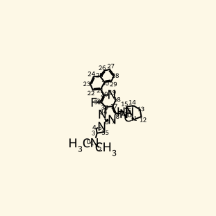 CN(C)C1CN(c2nc(N3CC4CCC(C3)N4)c3cnc(-c4cccc5ccccc45)c(F)c3n2)C1